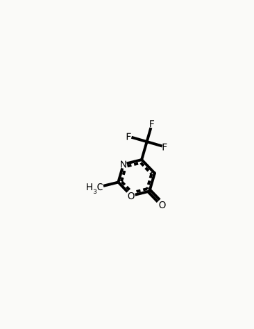 Cc1nc(C(F)(F)F)cc(=O)o1